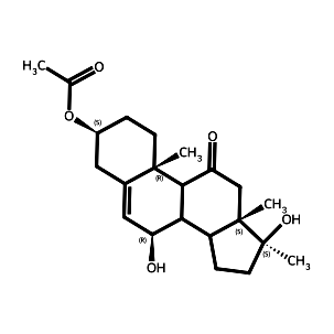 CC(=O)O[C@H]1CC[C@@]2(C)C(=C[C@H](O)C3C2C(=O)C[C@@]2(C)C3CC[C@]2(C)O)C1